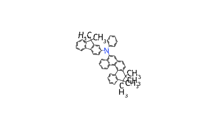 CC1(C)c2ccccc2-c2ccc(N(c3ccccc3)c3cc4ccc5c(c4c4ccccc34)-c3ccccc3C(C)(C)C5(C)C)cc21